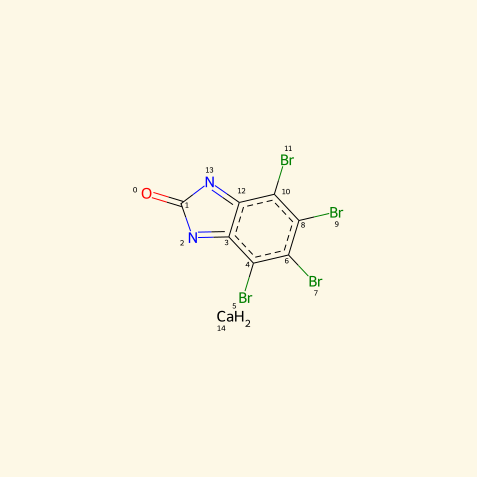 O=C1N=c2c(Br)c(Br)c(Br)c(Br)c2=N1.[CaH2]